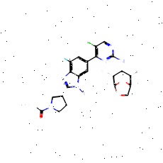 [2H][C@@H]1[C@@H](Nc2ncc(Cl)c(-c3cc(F)c4nc([C@@H]5CCN(C(=O)OC)C5)n(C(C)C)c4c3)n2)[C@H](O)[C@@H]2OC[C@H]1O2